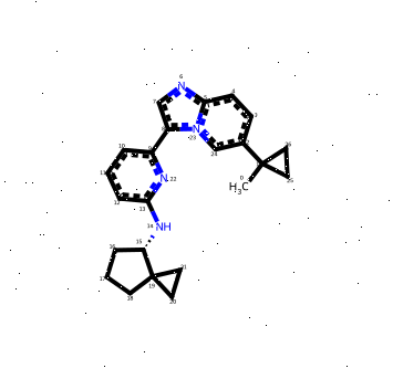 CC1(c2ccc3ncc(-c4cccc(N[C@H]5CCCC56CC6)n4)n3c2)CC1